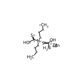 CCCCN(CCCC)C(O)=S.NC(O)=S.[Zn].[Zn]